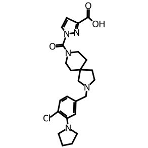 O=C(O)c1ccn(C(=O)N2CCC3(CCN(Cc4ccc(Cl)c(N5CCCC5)c4)C3)CC2)n1